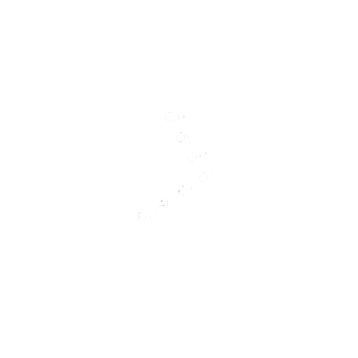 [Al+3].[Ca+2].[Fe+3].[O-2].[O-2].[O-2].[O-2]